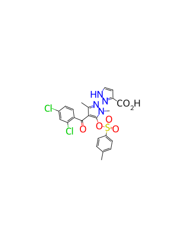 Cc1ccc(S(=O)(=O)Oc2c(C(=O)c3ccc(Cl)cc3Cl)c(C)nn2C)cc1.O=C(O)c1cc[nH]n1